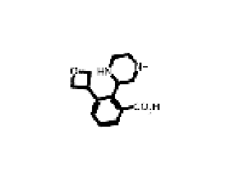 O=C(O)c1cccc(C2COC2)c1C1CNCCN1